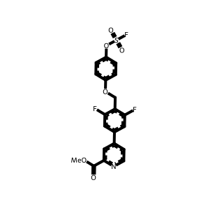 COC(=O)c1cc(-c2cc(F)c(COc3ccc(OS(=O)(=O)F)cc3)c(F)c2)ccn1